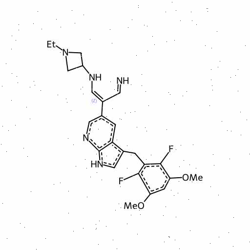 CCN1CC(N/C=C(\C=N)c2cnc3[nH]cc(Cc4c(F)c(OC)cc(OC)c4F)c3c2)C1